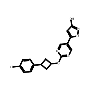 Oc1cc(-c2cnc(OC3CC(c4ccc(Cl)cc4)C3)nc2)on1